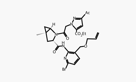 C=CCOCc1ccc(Br)nc1NC(=O)[C@@H]1C[C@@]2(C)C[C@H]2N1C(=O)Cn1nc(C(C)=O)cc1C(=O)OCC